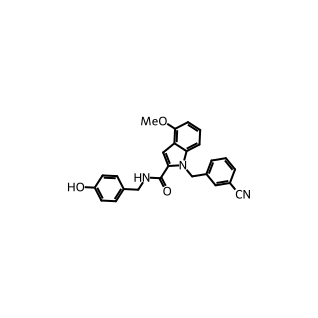 COc1cccc2c1cc(C(=O)NCc1ccc(O)cc1)n2Cc1cccc(C#N)c1